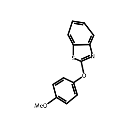 COc1ccc(Oc2nc3ccccc3s2)cc1